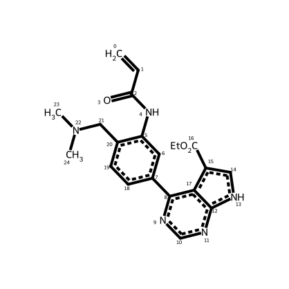 C=CC(=O)Nc1cc(-c2ncnc3[nH]cc(C(=O)OCC)c23)ccc1CN(C)C